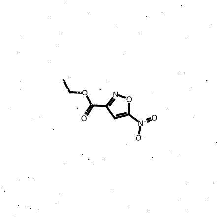 CCOC(=O)c1cc([N+](=O)[O-])on1